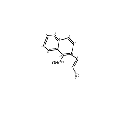 CCC=Cc1ccc2ccccc2c1C=O